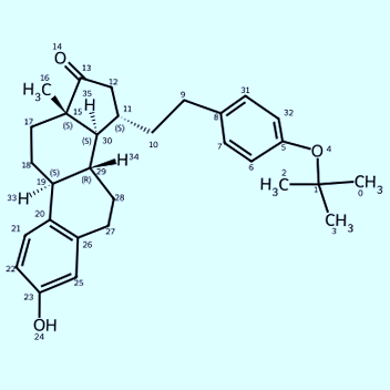 CC(C)(C)Oc1ccc(CC[C@H]2CC(=O)[C@@]3(C)CC[C@@H]4c5ccc(O)cc5CC[C@H]4[C@H]23)cc1